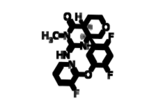 CN1C(=N)N[C@@]2(c3cc(Oc4ncccc4F)c(F)cc3F)COCC[C@H]2C1=O